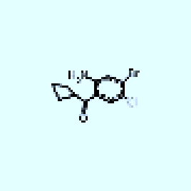 Nc1cc(Br)c(Cl)cc1C(=O)C1CCC1